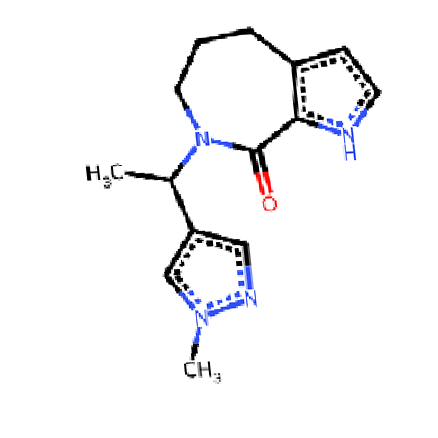 CC(c1cnn(C)c1)N1CCCc2cc[nH]c2C1=O